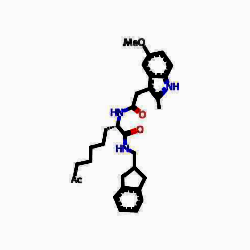 COc1ccc2[nH]c(C)c(CC(=O)N[C@@H](CCCCCC(C)=O)C(=O)NCC3Cc4ccccc4C3)c2c1